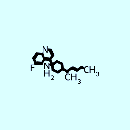 CC/C=C/C(C)C1CCC(N)(c2ccnc3ccc(F)cc23)CC1